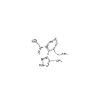 Cc1c[nH]nc1-c1c(CN)cccc1C(=O)O